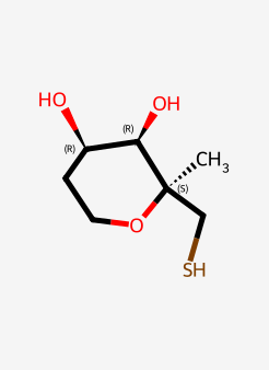 C[C@]1(CS)OCC[C@@H](O)[C@H]1O